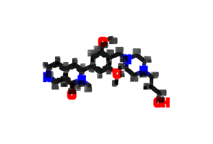 COc1cc(-c2cc3ccncc3c(=O)n2C)cc(OC)c1CN1CCN(CCCO)CC1